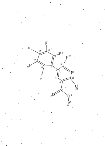 CC(C)OC(=O)c1cc(-c2c(F)c(F)c(F)c(F)c2F)c(F)cc1Cl